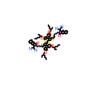 CCCCC(CC)COc1ccc(C2(c3ccc(OCC(CC)CCCC)cc3)c3cc(/C=C/C=C4\C(=O)c5cc6ccccc6cc5C4=C(C#N)C#N)sc3-c3sc4c5c(sc4c32)-c2sc3cc(/C=C/C=C4\C(=O)c6cc7ccccc7cc6C4=C(C#N)C#N)sc3c2C5(c2ccc(OCC(CC)CCCC)cc2)c2ccc(OCC(CC)CCCC)cc2)cc1